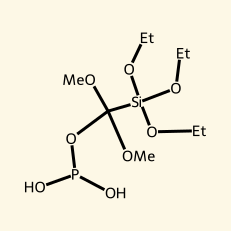 CCO[Si](OCC)(OCC)C(OC)(OC)OP(O)O